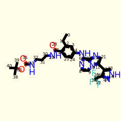 CCc1cc(Nc2nccn3c(-c4c[nH]nc4C(F)(F)F)cnc23)ccc1C(=O)NCCCNC(=O)OC(C)(C)C